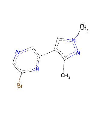 Cc1nn(C)cc1-c1cncc(Br)n1